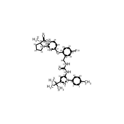 Cc1ccc(-n2nc(C(C)(C)C)cc2NC(=O)NCc2cc(F)ccc2Oc2ccnc(N3CCC[C@@]3(C)C(=O)O)n2)cc1